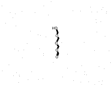 O=COCOCOCO